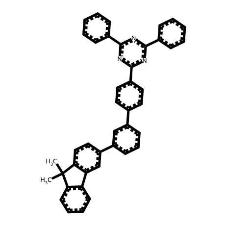 CC1(C)c2ccccc2-c2cc(-c3cccc(-c4ccc(-c5nc(-c6ccccc6)nc(-c6ccccc6)n5)cc4)c3)ccc21